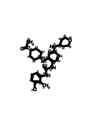 Cc1c(Cl)cccc1NC(=S)Nc1cnc(NC2CCOCC2)nc1N[C@H]1CC[C@@H](C(N)=O)CC1